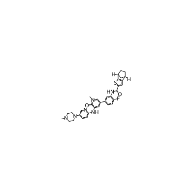 CN1CCN(c2ccc(Nc3cc(-c4ccc(F)c(NC(=O)c5cc6c(s5)[C@@H]5CC[C@H]6C5)c4)cn(C)c3=O)nc2)CC1